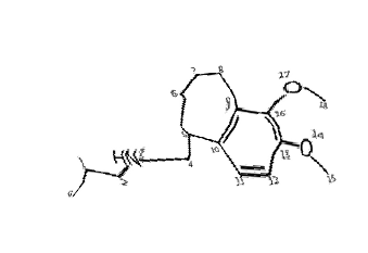 CCCNCC1CCCc2c1ccc(OC)c2OC